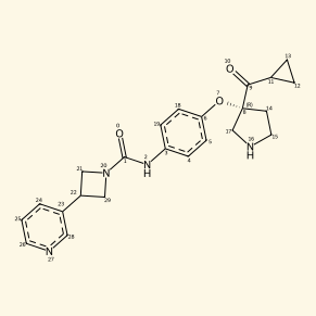 O=C(Nc1ccc(O[C@]2(C(=O)C3CC3)CCNC2)cc1)N1CC(c2cccnc2)C1